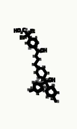 CCC(CC)(C(=O)O)c1ccc(C(O)CCCN2CCC(C(O)(c3ccc(C)cc3)c3ccc(C)cc3)CC2)cc1